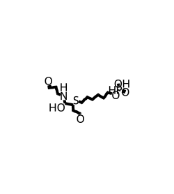 O=CCCNC(O)C(CC=O)SCCCCCCO[PH](=O)O